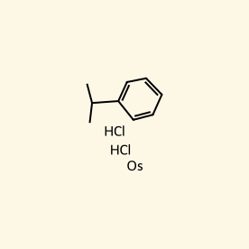 CC(C)c1ccccc1.Cl.Cl.[Os]